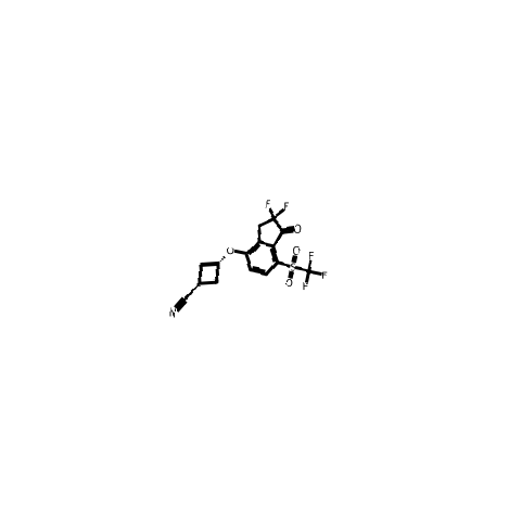 N#C[C@H]1C[C@H](Oc2ccc(S(=O)(=O)C(F)(F)F)c3c2CC(F)(F)C3=O)C1